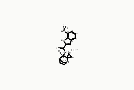 Cl.O=C(N[C@@H]1C2CCN(CC2)C12CC2)c1cc2cccc(OC(F)(F)F)c2s1